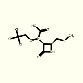 CSC[C@H]1NC(=O)[C@H]1N(OCC(Cl)(Cl)Cl)C(=O)O